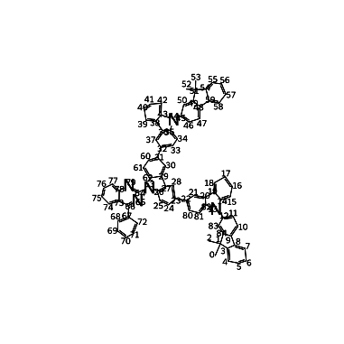 CC1(C)c2ccccc2-c2ccc(-n3c4ccccc4c4cc(-c5ccc6c(c5)c5cc(-c7ccc8c(c7)c7ccccc7n8-c7ccc8c(c7)C(C)(C)c7ccccc7-8)ccc5n6-c5nc(-c6ccccc6)c6ccccc6n5)ccc43)cc21